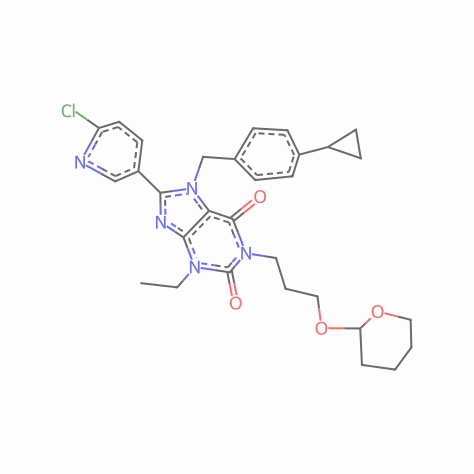 CCn1c(=O)n(CCCOC2CCCCO2)c(=O)c2c1nc(-c1ccc(Cl)nc1)n2Cc1ccc(C2CC2)cc1